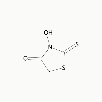 O=C1CSC(=S)N1O